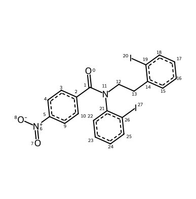 O=C(c1ccc([N+](=O)[O-])cc1)N(CCc1ccccc1I)c1ccccc1I